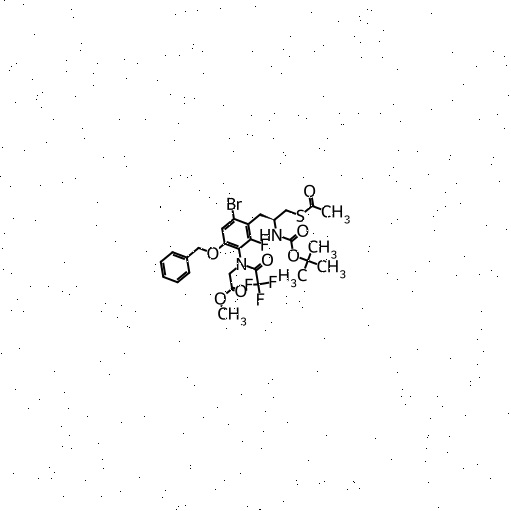 COC(=O)CN(C(=O)C(F)(F)F)c1c(OCc2ccccc2)cc(Br)c(C[C@@H](CSC(C)=O)NC(=O)OC(C)(C)C)c1F